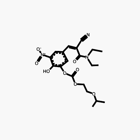 CCN(CC)C(=O)C(C#N)=Cc1cc(OC(=O)OCCOC(C)C)c(O)c([N+](=O)[O-])c1